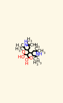 CC1(C)CC(C(C2CC(C)(C)NC(C)(C)C2)C(C(=O)O)C(=O)O)CC(C)(C)N1